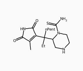 CCCCCC(CC)(C1=C(C)C(=O)NC1=O)C1CNCCN1C(N)=S